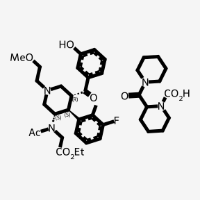 CCOC(=O)CN(C(C)=O)[C@@H]1CN(CCOC)C[C@H](C(=O)c2cccc(O)c2)[C@H]1c1cccc(F)c1C.O=C(C1CCCCN1C(=O)O)N1CCCCC1